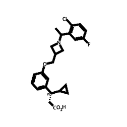 CC(c1cc(F)ccc1Cl)N1CC(COc2cccc([C@@H](CC(=O)O)C3CC3)c2)C1